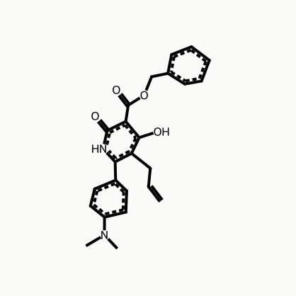 C=CCc1c(-c2ccc(N(C)C)cc2)[nH]c(=O)c(C(=O)OCc2ccccc2)c1O